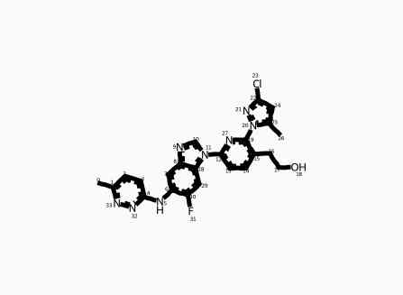 Cc1ccc(Nc2cc3ncn(-c4ccc(CCO)c(-n5nc(Cl)cc5C)n4)c3cc2F)nn1